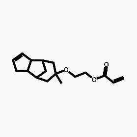 C=CC(=O)OCCOC1(C)CC2CC(C1)C1CC=CC21